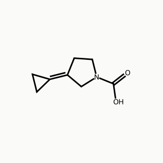 O=C(O)N1CCC(=C2CC2)C1